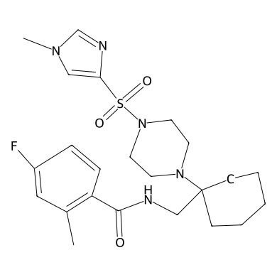 Cc1cc(F)ccc1C(=O)NCC1(N2CCN(S(=O)(=O)c3cn(C)cn3)CC2)CCCCC1